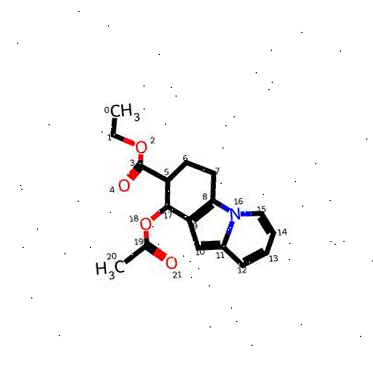 CCOC(=O)C1CCc2c(cc3ccccn23)C1OC(C)=O